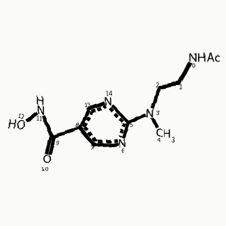 CC(=O)NCCN(C)c1ncc(C(=O)NO)cn1